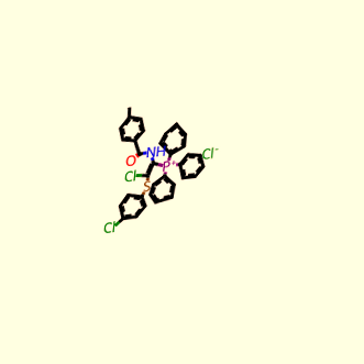 Cc1ccc(C(=O)N/C(=C(\Cl)Sc2ccc(Cl)cc2)[P+](c2ccccc2)(c2ccccc2)c2ccccc2)cc1.[Cl-]